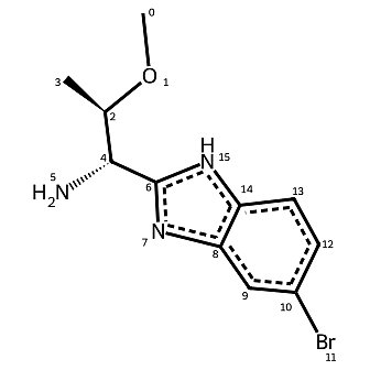 CO[C@H](C)[C@@H](N)c1nc2cc(Br)ccc2[nH]1